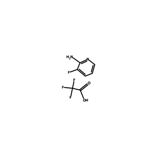 Nc1ncccc1F.O=C(O)C(F)(F)F